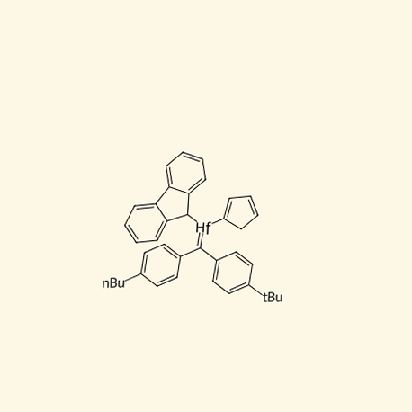 CCCCc1ccc([C](c2ccc(C(C)(C)C)cc2)=[Hf]([C]2=CC=CC2)[CH]2c3ccccc3-c3ccccc32)cc1